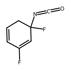 O=C=NC1(F)C=C(F)C=CC1